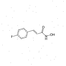 O=C(C=Cc1ccc(F)cc1)NO